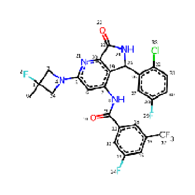 CC1(F)CN(c2cc(NC(=O)c3cc(F)cc(C(F)(F)F)c3)c3c(n2)C(=O)NC3c2cc(F)ccc2Cl)C1